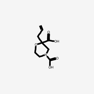 C=CCC1(C(=O)O)CN(C(=O)O)CCO1